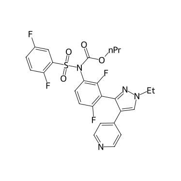 CCCOC(=O)N(c1ccc(F)c(-c2nn(CC)cc2-c2ccncc2)c1F)S(=O)(=O)c1cc(F)ccc1F